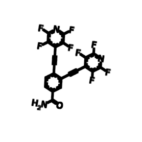 NC(=O)c1ccc(C#Cc2c(F)c(F)nc(F)c2F)c(C#Cc2c(F)c(F)nc(F)c2F)c1